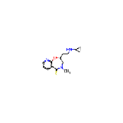 CN1CC(CCNC2CC2)Oc2ncccc2C1=S